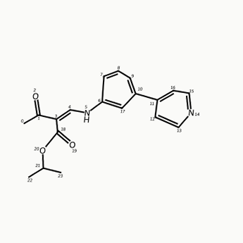 CC(=O)C(=CNc1cccc(-c2ccncc2)c1)C(=O)OC(C)C